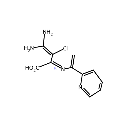 C=C(/N=C(/C(=O)O)C(Cl)=C(N)N)c1ccccn1